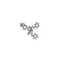 COc1ccc([C@H](CNC(=O)C=Cc2ccccc2)OC(=O)C=Cc2ccccc2)cc1